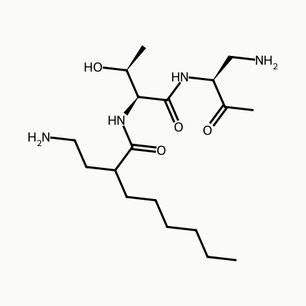 CCCCCCC(CCN)C(=O)N[C@H](C(=O)N[C@@H](CN)C(C)=O)[C@H](C)O